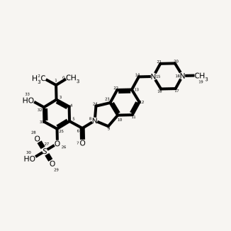 CC(C)c1cc(C(=O)N2Cc3ccc(CN4CCN(C)CC4)cc3C2)c(OS(=O)(=O)O)cc1O